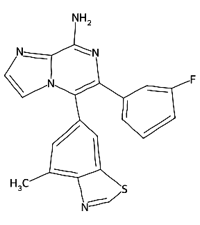 Cc1cc(-c2c(-c3cccc(F)c3)nc(N)c3nccn23)cc2scnc12